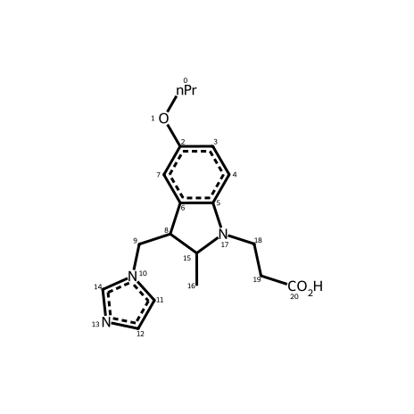 CCCOc1ccc2c(c1)C(Cn1ccnc1)C(C)N2CCC(=O)O